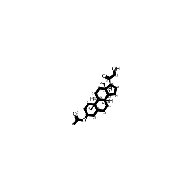 CC(=O)OC1CC[C@@]2(C)C(CC[C@H]3[C@@H]4CC[C@H](C(=O)CO)[C@@]4(C)CC[C@@H]32)C1